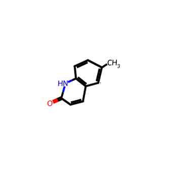 Cc1[c]c2ccc(=O)[nH]c2cc1